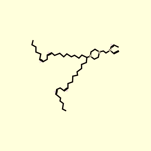 C=CN(/C=C\C)CCN1CCN(C(CCCCCCCC/C=C\C/C=C\CCCCC)CCCCCCCC/C=C\C/C=C\CCCCC)CC1